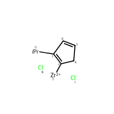 CC(C)C1=[C]([Zr+2])CC=C1.[Cl-].[Cl-]